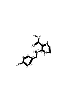 COC(=O)c1nccnc1NCc1ccc(F)cc1